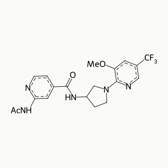 COc1cc(C(F)(F)F)cnc1N1CCC(NC(=O)c2ccnc(NC(C)=O)c2)C1